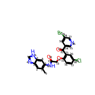 Cc1cc2nc[nH]c2cc1NC(=O)COc1ccc(Cl)cc1C(=O)c1cncc(Br)c1